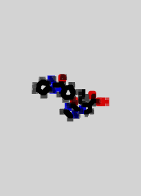 C[C@@H]1C(C(=O)O)CCN1c1nccnc1Oc1ccc(C(=O)c2nc3ccccc3[nH]2)cc1